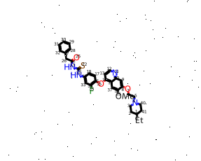 CCC1CCN(CCOc2cc3nccc(Oc4ccc(NC(=S)NC(=O)Cc5ccccc5)cc4F)c3cc2OC)CC1